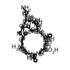 CC(C)[C@@H]1NC(=O)[C@H](Cc2c[nH]c3ccccc23)NC(=O)[C@@H]2CSCC(=O)N3Cc4cncc(c4)CN(Cc4cncc(c4)CN(Cc4cncc(c4)C3)C(=O)CSC[C@H](NC(=O)[C@H](C)NC(=O)CN(C)C(=O)CCN)C(=O)N[C@@H]3C(=O)N[C@@H](CCN[C@H]3O)C(=O)N2)C(=O)CSC[C@@H](C(N)=O)NC(=O)[C@@H]2CCCN2C(=O)[C@H](C(C)C)NC(=O)[C@H](Cc2c[nH]c3ccccc23)NC(=O)CNC(=O)[C@H](CC(=O)O)NC1=O